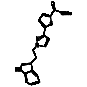 COC(=O)c1ccc(-c2ccn(CCc3c[nH]c4ccccc34)n2)s1